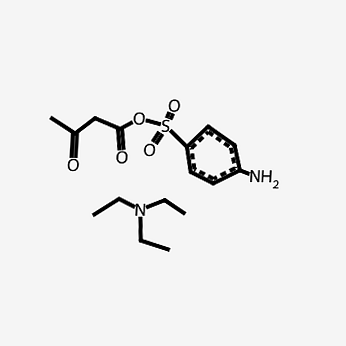 CC(=O)CC(=O)OS(=O)(=O)c1ccc(N)cc1.CCN(CC)CC